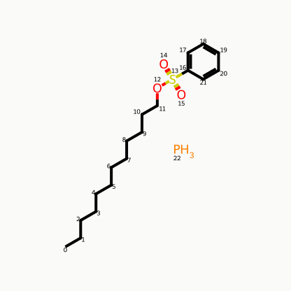 CCCCCCCCCCCCOS(=O)(=O)c1ccccc1.P